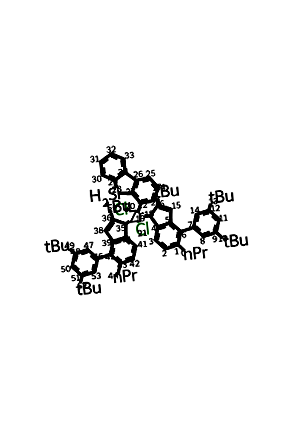 CCCc1ccc2c(c1-c1cc(C(C)(C)C)cc(C(C)(C)C)c1)C=C(C(C)(C)C)[CH]2[Zr]([Cl])([Cl])([c]1cccc2c1[SiH2]c1ccccc1-2)[CH]1C(C(C)(C)C)=Cc2c1ccc(CCC)c2-c1cc(C(C)(C)C)cc(C(C)(C)C)c1